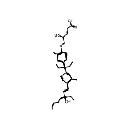 CCCCC(O)(/C=C/c1ccc(C(CC)(CC)c2ccc(OCC(O)CCC(=O)O)c(C)c2)cc1C)CC